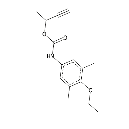 C#CC(C)OC(=O)Nc1cc(C)c(OCC)c(C)c1